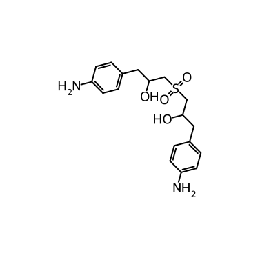 Nc1ccc(CC(O)CS(=O)(=O)CC(O)Cc2ccc(N)cc2)cc1